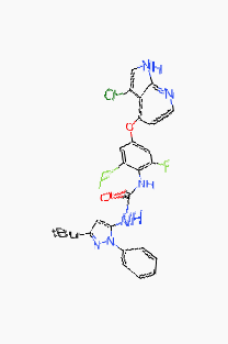 CC(C)(C)c1cc(NC(=O)Nc2c(F)cc(Oc3ccnc4[nH]cc(Cl)c34)cc2F)n(-c2ccccc2)n1